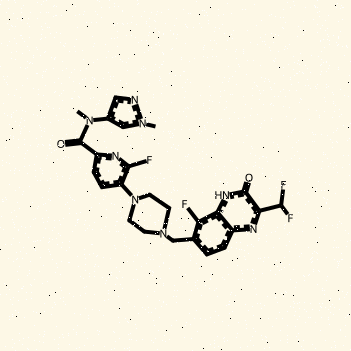 CN(C(=O)c1ccc(N2CCN(Cc3ccc4nc(C(F)F)c(=O)[nH]c4c3F)CC2)c(F)n1)c1cnn(C)c1